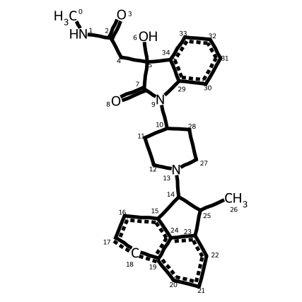 CNC(=O)CC1(O)C(=O)N(C2CCN(C3c4cccc5cccc(c45)C3C)CC2)c2ccccc21